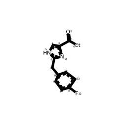 CCC(=O)c1c[nH]c(Cc2ccc(F)cc2)n1